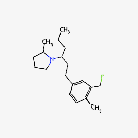 CCCC(CCc1ccc(C)c(CF)c1)N1CCCC1C